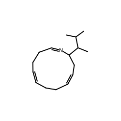 CC(C)C(C)C1CC=CCCC=CCCC=N1